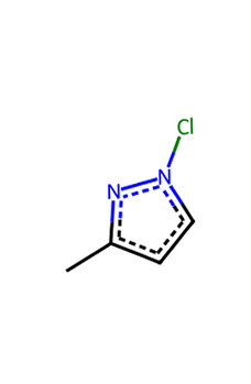 Cc1ccn(Cl)n1